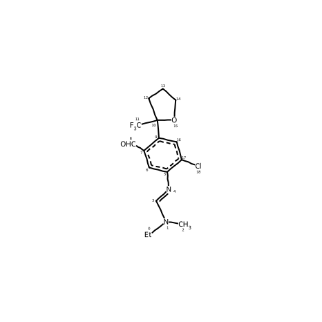 CCN(C)/C=N/c1cc(C=O)c(C2(C(F)(F)F)CCCO2)cc1Cl